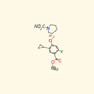 CC(C)(C)OC(=O)c1cc(C2CC2)c(OC[C@H]2CCCN(C(=O)O)C2)cc1F